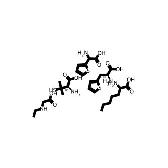 CC(C)(S)[C@H](N)C(=O)O.CCCCCC(N)C(=O)O.CCNCC(=O)O.NC(C(=O)O)c1cccs1.N[C@@H](Cc1cccs1)C(=O)O